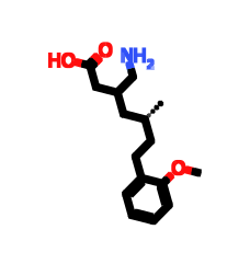 COc1ccccc1CC[C@@H](C)CC(CN)CC(=O)O